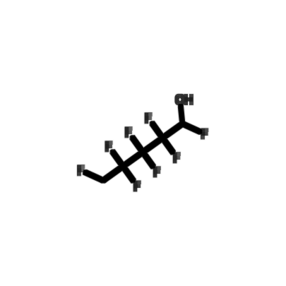 OC(F)C(F)(F)C(F)(F)C(F)(F)CF